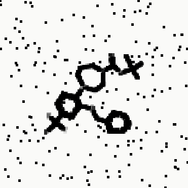 CC(C)(C)OC(=O)N1CCCN(c2ccc(C(F)(F)F)cc2OCc2ccccc2)CC1